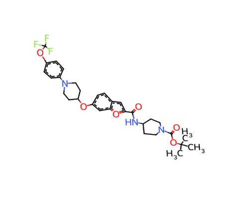 CC(C)(C)OC(=O)N1CCC(NC(=O)c2cc3ccc(OC4CCN(c5ccc(OC(F)(F)F)cc5)CC4)cc3o2)CC1